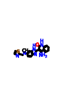 CN(Cc1nccs1)c1ccc2nc(-c3c(N)c4ccccc4[nH]c3=O)[nH]c2c1